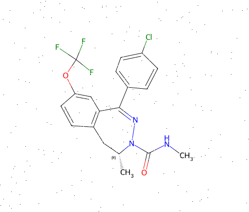 CNC(=O)N1N=C(c2ccc(Cl)cc2)c2cc(OC(F)(F)F)ccc2C[C@H]1C